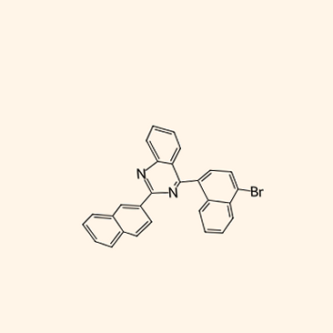 Brc1ccc(-c2nc(-c3ccc4ccccc4c3)nc3ccccc23)c2ccccc12